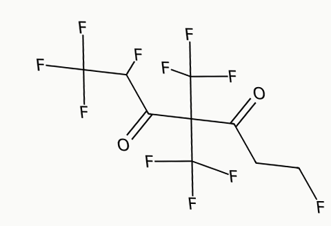 O=C(CCF)C(C(=O)C(F)C(F)(F)F)(C(F)(F)F)C(F)(F)F